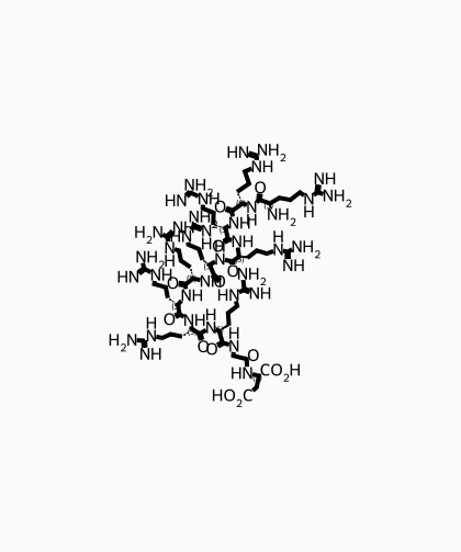 N=C(N)NCCC[C@H](NC(=O)[C@H](CCCNC(=N)N)NC(=O)[C@H](CCCNC(=N)N)NC(=O)[C@H](CCCNC(=N)N)NC(=O)[C@H](CCCNC(=N)N)NC(=O)[C@H](CCCNC(=N)N)NC(=O)[C@H](CCCNC(=N)N)NC(=O)[C@H](CCCNC(=N)N)NC(=O)[C@@H](N)CCCNC(=N)N)C(=O)NCC(=O)N[C@@H](CC(=O)O)C(=O)O